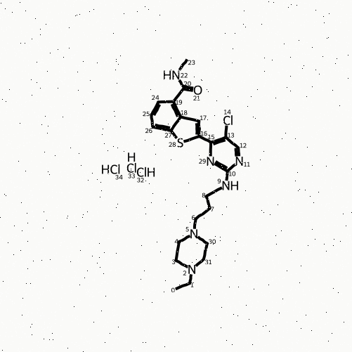 CCN1CCN(CCCNc2ncc(Cl)c(-c3cc4c(C(=O)NC)cccc4s3)n2)CC1.Cl.Cl.Cl